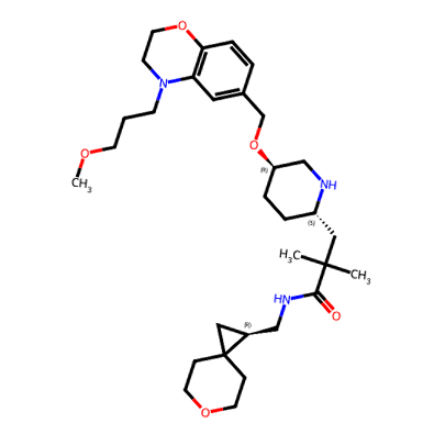 COCCCN1CCOc2ccc(CO[C@@H]3CC[C@@H](CC(C)(C)C(=O)NC[C@@H]4CC45CCOCC5)NC3)cc21